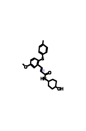 COc1ccc(Sc2ccc(C)cc2)c(/C=C/C(=O)NC2CCC(O)CC2)c1